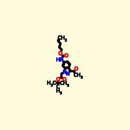 C=CCCCOC(=O)Nc1ccc2c(C(C)=O)nn(CC(=O)OC(C)(C)C)c2c1